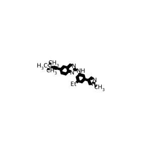 CCc1cc(Nc2ncc3cc(C#C[Si](C)(C)C)ccc3n2)cc(-c2cnn(C)c2)c1